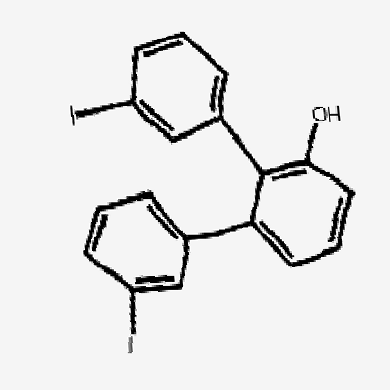 Oc1cccc(-c2cccc(I)c2)c1-c1cccc(I)c1